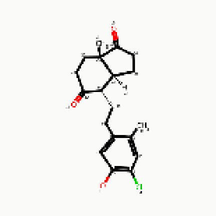 Cc1cc(Cl)c(O)cc1CC[C@@H]1C(=O)CC[C@]2(C)C(=O)CC[C@@H]12